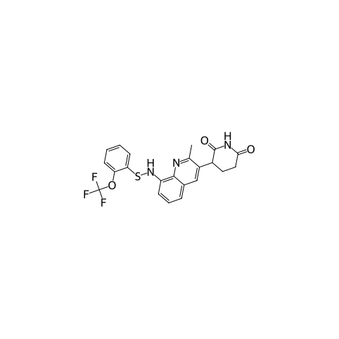 Cc1nc2c(NSc3ccccc3OC(F)(F)F)cccc2cc1C1CCC(=O)NC1=O